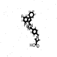 O=C(O)C1CN(Cc2ccc(-c3noc(C=CC4(c5cc(F)cc(F)c5)CCCCC4)n3)cc2)C1